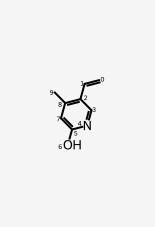 C=Cc1cnc(O)cc1C